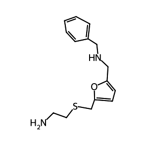 NCCSCc1ccc(CNCc2ccccc2)o1